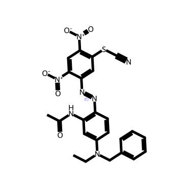 CCN(Cc1ccccc1)c1ccc(/N=N/c2cc(SC#N)c([N+](=O)[O-])cc2[N+](=O)[O-])c(NC(C)=O)c1